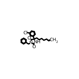 C=CCCCCCC1(c2cccc(Cl)c2)NC(=O)N(Cc2ccccc2)C1=O